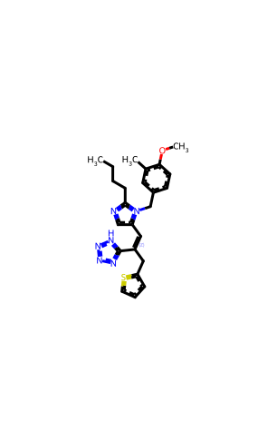 CCCCc1ncc(/C=C(/Cc2cccs2)c2nnn[nH]2)n1Cc1ccc(OC)c(C)c1